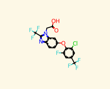 O=C(O)Cn1c(C(F)(F)F)nc2ccc(Oc3c(F)cc(C(F)(F)F)cc3Cl)cc21